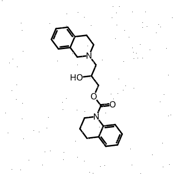 O=C(OCC(O)CN1CCc2ccccc2C1)N1CCCc2ccccc21